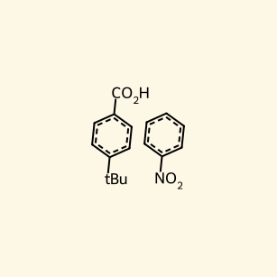 CC(C)(C)c1ccc(C(=O)O)cc1.O=[N+]([O-])c1ccccc1